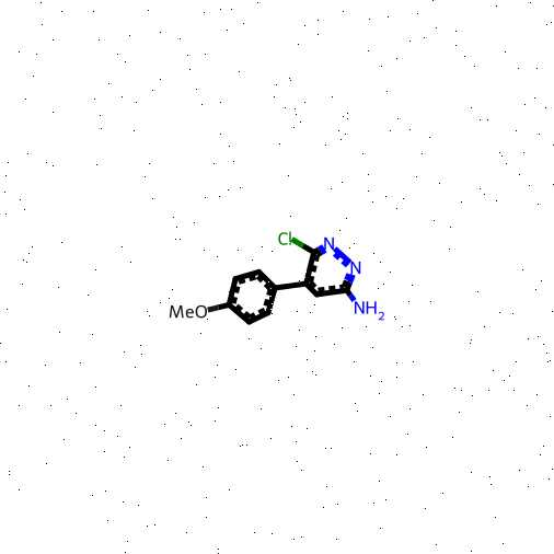 COc1ccc(-c2cc(N)nnc2Cl)cc1